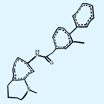 Cc1cc(C(=O)Nc2ccc3c(c2)N(C)CCC3)ccc1-c1ccccc1